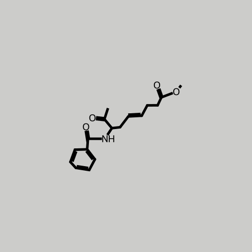 COC(=O)CCC=CCC(NC(=O)c1ccccc1)C(C)=O